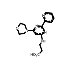 O=C(O)CCNc1cc(N2CCOCC2)nc(-c2ccccn2)n1